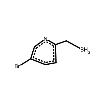 BCc1ccc(Br)cn1